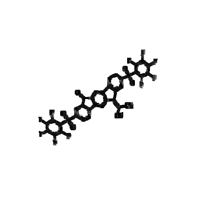 N#CC(C#N)=C1c2cc(S(=O)(=O)c3c(F)c(F)c(F)c(F)c3F)ccc2-c2cc3c(cc21)-c1ccc(S(=O)(=O)c2c(F)c(F)c(F)c(F)c2F)cc1C3=O